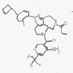 C=CC(=O)N1CCc2nn(-c3ccc(C4CCC4)cc3C)c3c2C(C1)N(C(=O)c1cnc(C(F)(F)F)cc1N)CC3